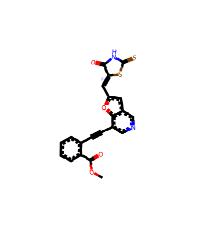 COC(=O)c1ccccc1C#Cc1cncc2cc(/C=C3\SC(=S)NC3=O)oc12